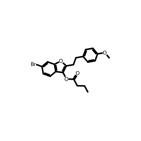 CCCC(=O)Oc1c(CCc2ccc(OC)cc2)oc2cc(Br)ccc12